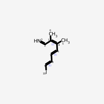 C/C(C=N)=C(C)/C=C/C=C/I